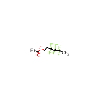 CCC(=O)OCCC(F)(F)C(F)(F)C(F)(F)C(F)(F)F